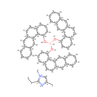 CCc1nc(C)cn1C.c1ccc2cc3c(ccc4cccc(OB(Oc5cccc6ccc7cc8ccccc8cc7c56)Oc5cccc6ccc7cc8ccccc8cc7c56)c43)cc2c1